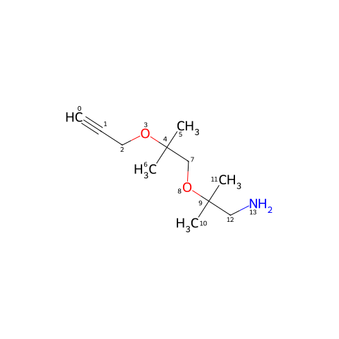 C#CCOC(C)(C)COC(C)(C)CN